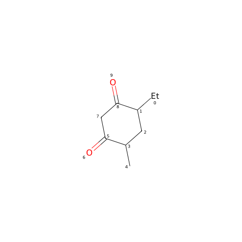 CCC1CC(C)C(=O)CC1=O